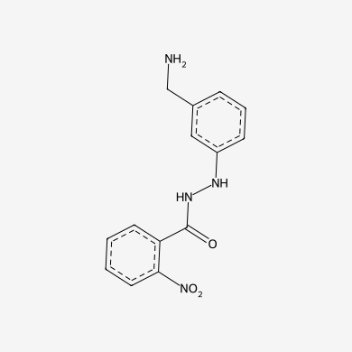 NCc1cccc(NNC(=O)c2ccccc2[N+](=O)[O-])c1